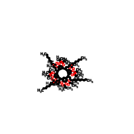 CCCCCCCCCCCC1c2cc(c(OC(=O)C(C)C)c(OC(=O)C(C)C)c2OC(=O)C(C)C)C(CCCCCCCCCCC)c2cc(c(OC(=O)C(C)C)c(OC(=O)C(C)C)c2OC(=O)C(C)C)C(CCCCCCCCCCC)c2cc(c(OC(=O)C(C)C)c(OC(=O)C(C)C)c2OC(=O)C(C)C)C(CCCCCCCCCCC)c2cc1c(OC(=O)C(C)C)c(OC(=O)C(C)C)c2OC(=O)C(C)C